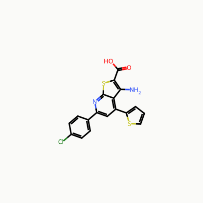 Nc1c(C(=O)O)sc2nc(-c3ccc(Cl)cc3)cc(-c3cccs3)c12